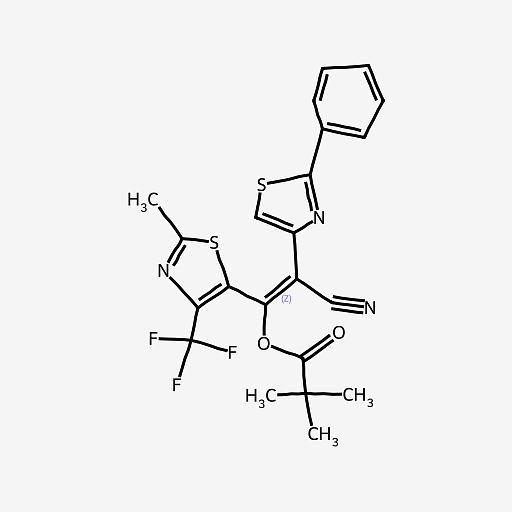 Cc1nc(C(F)(F)F)c(/C(OC(=O)C(C)(C)C)=C(/C#N)c2csc(-c3ccccc3)n2)s1